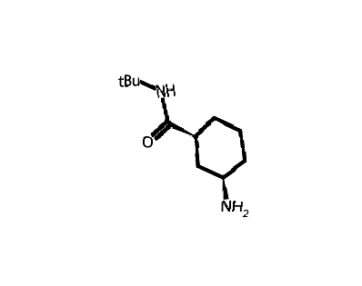 CC(C)(C)NC(=O)[C@H]1CCC[C@@H](N)C1